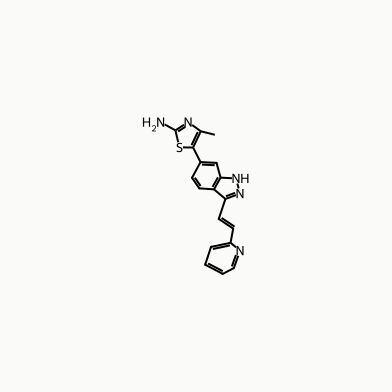 Cc1nc(N)sc1-c1ccc2c(C=Cc3ccccn3)n[nH]c2c1